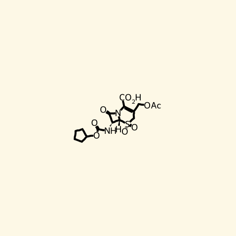 CC(=O)OCC1=C(C(=O)O)N2C(=O)[C@@H](NC(=O)OC3CCCC3)[C@H]2S(=O)(=O)C1